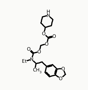 CCN(C(=O)OCOC(=O)OC1CCNCC1)C(C)Cc1ccc2c(c1)OCO2